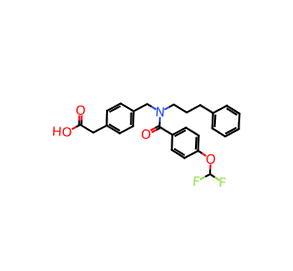 O=C(O)Cc1ccc(CN(CCCc2ccccc2)C(=O)c2ccc(OC(F)F)cc2)cc1